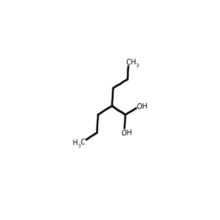 CCCC(CCC)C(O)O